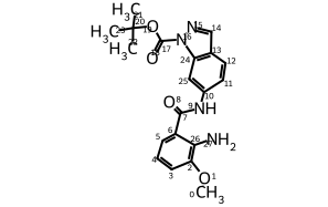 COc1cccc(C(=O)Nc2ccc3cnn(C(=O)OC(C)(C)C)c3c2)c1N